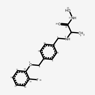 CC(NCc1ccc(COc2ccccc2F)cc1)C(=O)NO